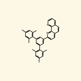 Cc1cc(C)c(-c2cc(-c3ccc4ccc5cccnc5c4n3)cc(-c3c(C)cc(C)cc3C)c2)c(C)c1